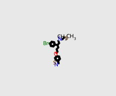 CSCCN(C)CCC(CCCOc1ccc2cnsc2c1)c1ccc(Br)cc1